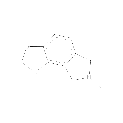 CN1Cc2ccc3c(c2C1)OCO3